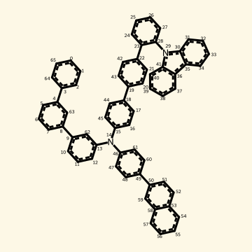 c1ccc(-c2cccc(-c3cccc(N(c4ccc(-c5ccc(-c6ccccc6-n6c7ccccc7c7ccccc76)cc5)cc4)c4ccc(-c5ccc6ccccc6c5)cc4)c3)c2)cc1